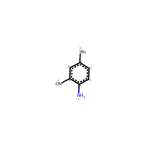 CC(C)(C)c1ccc(N)c(N=O)c1